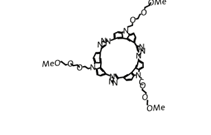 COCCOCCOCCn1c2ccc3cc2c2cc(ccc21)n1cc(nn1)c1ccc2c(c1)c1cc(ccc1n2CCOCCOCCOC)n1cc(nn1)c1ccc2c(c1)c1cc(ccc1n2CCOCCOCCOC)n1cc3nn1